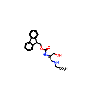 O=C(O)CNC[C@@H](CO)NC(=O)OCC1c2ccccc2-c2ccccc21